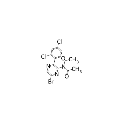 CC(=O)N(C(C)=O)c1nc(Br)cnc1-c1ccc(Cl)cc1Cl